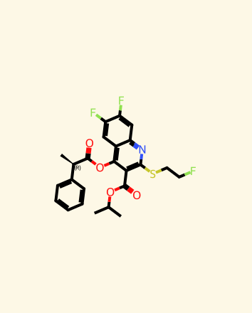 CC(C)OC(=O)c1c(SCCF)nc2cc(F)c(F)cc2c1OC(=O)[C@H](C)c1ccccc1